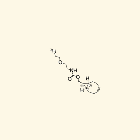 [3H]CCOCCNC(=O)OC[C@@H]1[C@@H]2CCC#CCC[C@@H]21